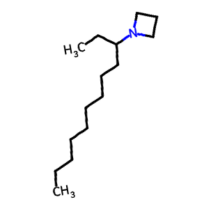 CCCCCCCCCC(CC)N1CCC1